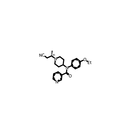 CCOc1ccc(N(C(=O)c2cccnc2)C2CCN([C@H](C)CC#N)CC2)cc1